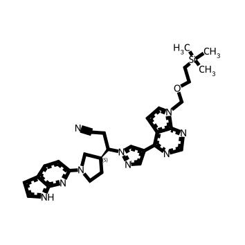 C[Si](C)(C)CCOCn1ccc2c(-c3cnn(C(CC#N)[C@H]4CCN(c5ccc6cc[nH]c6n5)C4)c3)ncnc21